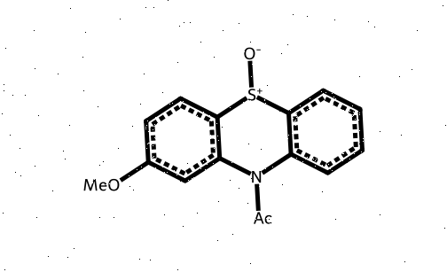 COc1ccc2c(c1)N(C(C)=O)c1ccccc1[S+]2[O-]